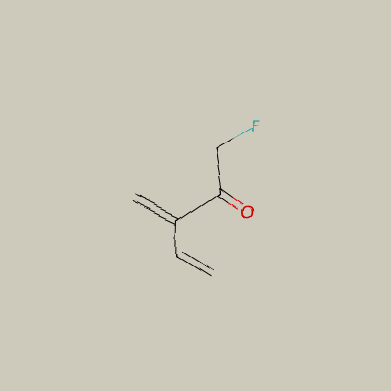 C=CC(=C)C(=O)CF